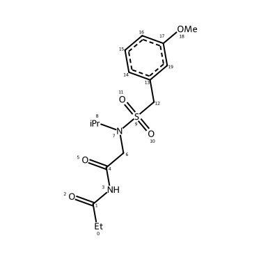 CCC(=O)NC(=O)CN(C(C)C)S(=O)(=O)Cc1cccc(OC)c1